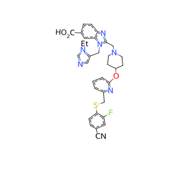 CCn1cncc1Cn1c(CN2CCC(Oc3cccc(CSc4ccc(C#N)cc4F)n3)CC2)nc2ccc(C(=O)O)cc21